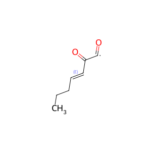 CCC/C=C/C(=O)[C]=O